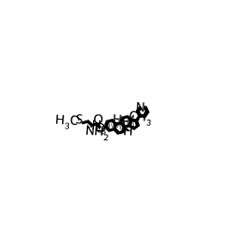 CSCC[C@H](N)C(=O)O[C@H]1CC[C@@]2(C)C(=CC[C@@H]3[C@@H]2CC[C@]2(C)C(c4cccnc4)=CC[C@@H]32)C1